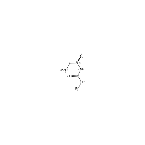 CC[C@H](COC)NC(=O)OC(C)C